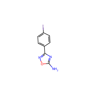 Nc1nc(-c2ccc(I)cc2)no1